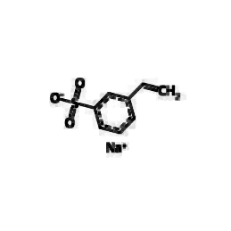 C=Cc1cccc(S(=O)(=O)[O-])c1.[Na+]